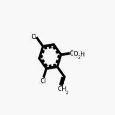 C=Cc1c(Cl)cc(Cl)cc1C(=O)O